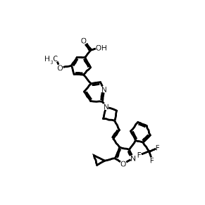 COc1cc(C(=O)O)cc(-c2ccc(N3CC(C=Cc4c(-c5ccccc5C(F)(F)F)noc4C4CC4)C3)nc2)c1